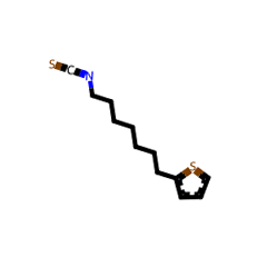 S=C=NCCCCCCCc1cccs1